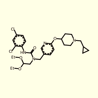 CCOC(CN(Cc1ccc(OC2CCN(CC3CC3)CC2)nc1)C(=O)Nc1ccc(Cl)cc1Cl)OCC